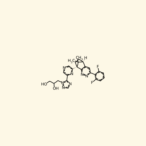 CC1(C)[C@H]2CC[C@]1(c1cncc(-c3ncnn3CC(O)CO)n1)c1nnc(-c3c(F)cccc3F)cc12